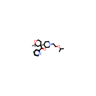 CC(C)OCCN1CCC([C@]2(C(=O)c3ccccn3)CCO[C@H](C)C2)CC1